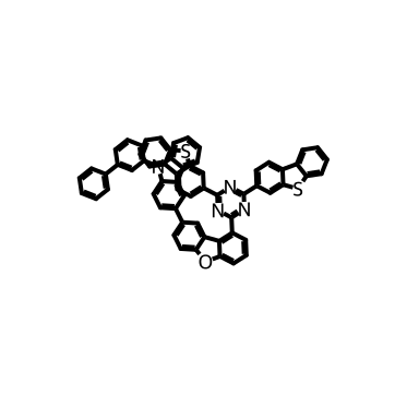 c1ccc(-c2cccc(-n3c4ccccc4c4cc(-c5ccc6oc7cccc(-c8nc(-c9ccc%10c(c9)sc9ccccc9%10)nc(-c9ccc%10c(c9)sc9ccccc9%10)n8)c7c6c5)ccc43)c2)cc1